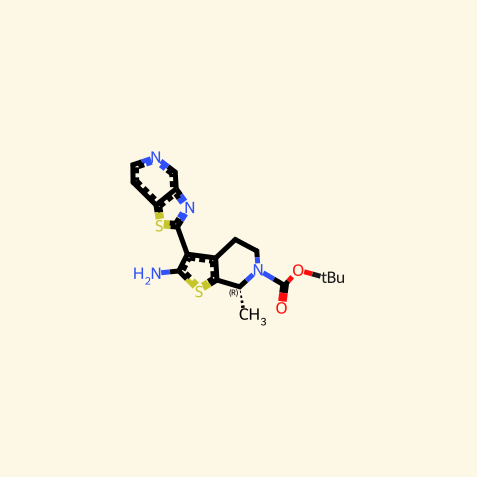 C[C@@H]1c2sc(N)c(-c3nc4cnccc4s3)c2CCN1C(=O)OC(C)(C)C